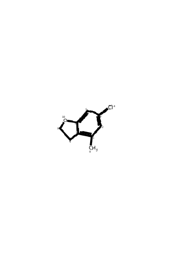 Cc1cc(Cl)cc2c1CCO2